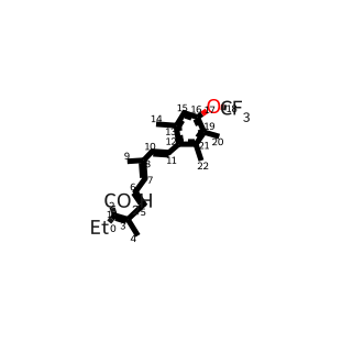 CCC(C(=O)O)=C(C)C=CC=C(C)C=Cc1c(C)cc(OC(F)(F)F)c(C)c1C